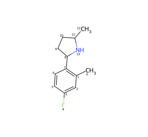 Cc1cc(F)ccc1C1CCC(C)N1